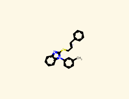 Cc1cccc(-n2c(SC/C=C/c3ccccc3)nc3ccccc32)c1